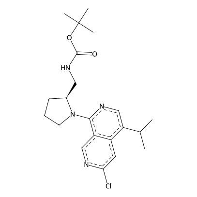 CC(C)c1cnc(N2CCC[C@H]2CNC(=O)OC(C)(C)C)c2cnc(Cl)cc12